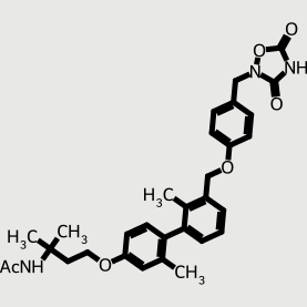 CC(=O)NC(C)(C)CCOc1ccc(-c2cccc(COc3ccc(Cn4oc(=O)[nH]c4=O)cc3)c2C)c(C)c1